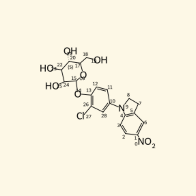 O=[N+]([O-])c1ccc2c(c1)CCN2c1ccc(OC2OC(CO)[C@@H](O)C(O)C2O)c(Cl)c1